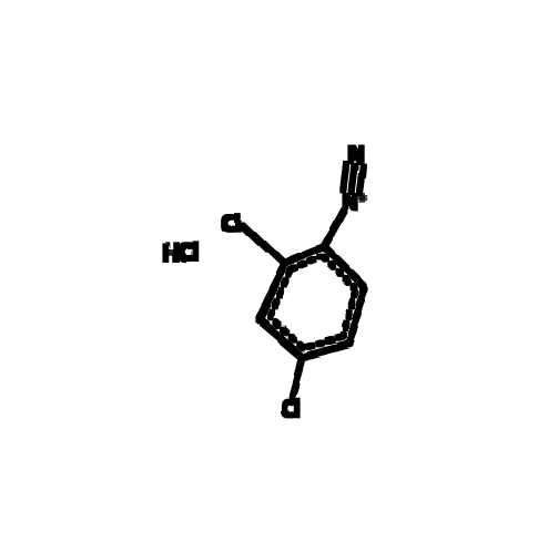 Cl.N#[N+]c1ccc(Cl)cc1Cl